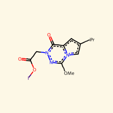 COc1nn(CC(=O)OI)c(=O)c2cc(C(C)C)cn12